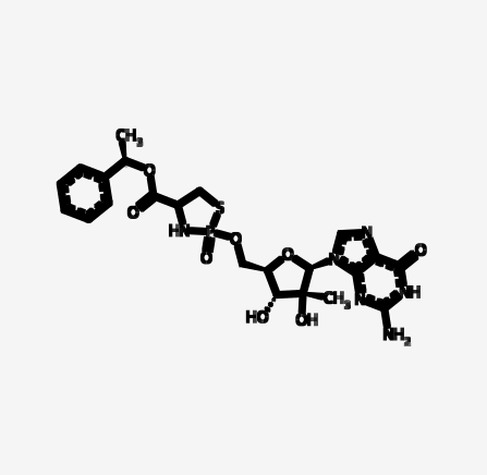 C[C@@H](OC(=O)C1CSP(=O)(OC[C@H]2O[C@@H](n3cnc4c(=O)[nH]c(N)nc43)[C@](C)(O)[C@@H]2O)N1)c1ccccc1